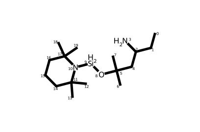 CCC(N)CC(C)(C)O[SiH2]N1C(C)(C)CCCC1(C)C